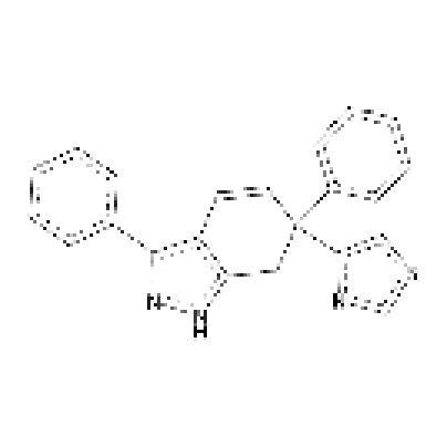 C1=CC(c2ccccc2)(c2cscn2)Cc2[nH]nc(-c3ccccc3)c21